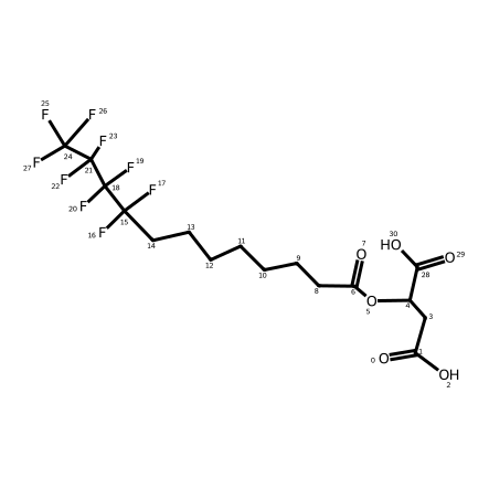 O=C(O)CC(OC(=O)CCCCCCCC(F)(F)C(F)(F)C(F)(F)C(F)(F)F)C(=O)O